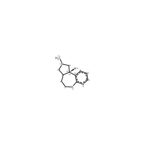 CN1CC2CCOc3ncccc3[C@H]2C1